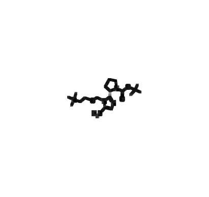 Bc1cnc([C@@H]2CCCN2C(=O)OC(C)(C)C)n1COCC[Si](C)(C)C